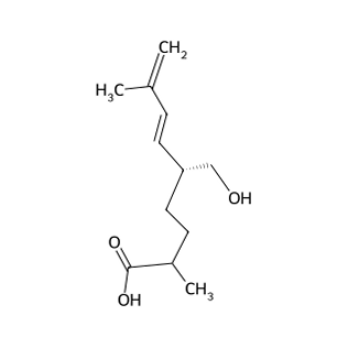 C=C(C)C=C[C@H](CO)CCC(C)C(=O)O